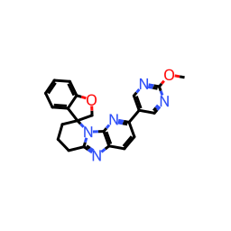 COc1ncc(-c2ccc3nc4n(c3n2)C2(CCC4)COc3ccccc32)cn1